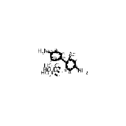 CC(=O)O.CC(=O)O.CC(=O)O.CC(=O)c1cc(N)ccc1-c1ccc(N)cc1